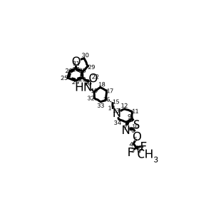 CC(F)(F)COc1nc2c(s1)CCN(CC[C@H]1CC[C@H](NC(=O)c3cccc4c3CCO4)CC1)C2